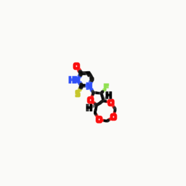 O=c1ccn([C@@H]2O[C@@H]3COCOCO[C@@H]3C2F)c(=S)[nH]1